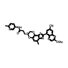 COc1cnc2c(-c3nc4c(C)cc5c(c4s3)OC[C@H](CCC(=O)Nc3ccc(C)nc3)O5)cc(C#N)cc2n1